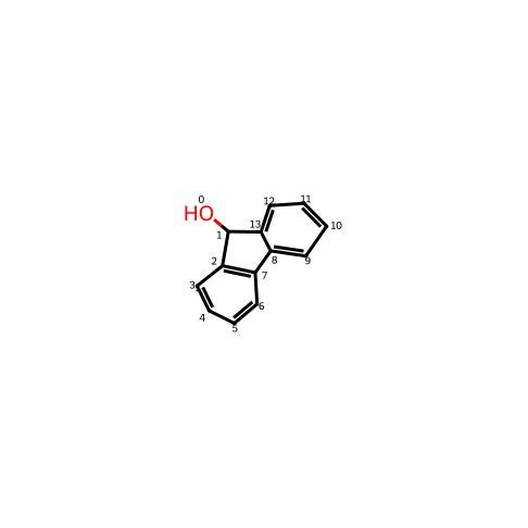 OC1c2[c]cccc2-c2ccccc21